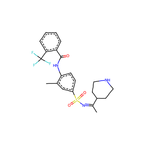 C/C(=N/S(=O)(=O)c1ccc(NC(=O)c2ccccc2C(F)(F)F)c(C)c1)C1CCNCC1